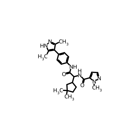 Cc1n[nH]c(C)c1-c1ccc(NC(=O)C(NC(=O)c2ccnn2C)C2CCC(C)(C)C2)cc1